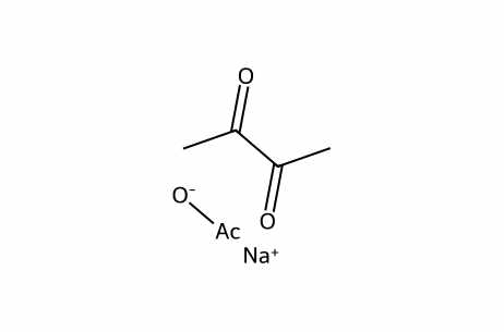 CC(=O)C(C)=O.CC(=O)[O-].[Na+]